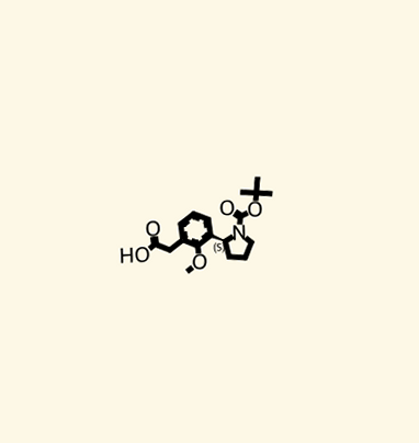 COc1c(CC(=O)O)cccc1[C@@H]1CCCN1C(=O)OC(C)(C)C